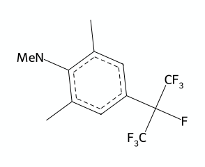 CNc1c(C)cc(C(F)(C(F)(F)F)C(F)(F)F)cc1C